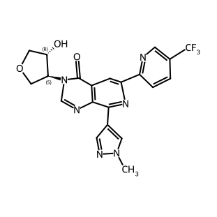 Cn1cc(-c2nc(-c3ccc(C(F)(F)F)cn3)cc3c(=O)n([C@H]4COC[C@@H]4O)cnc23)cn1